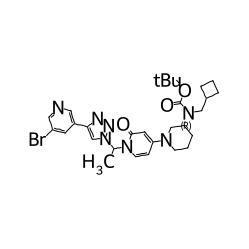 CC(n1cc(-c2cncc(Br)c2)nn1)n1ccc(N2CCC[C@@H](N(CC3CCC3)C(=O)OC(C)(C)C)C2)cc1=O